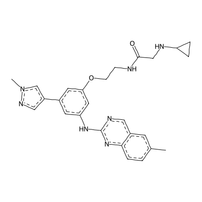 Cc1ccc2nc(Nc3cc(OCCNC(=O)CNC4CC4)cc(-c4cnn(C)c4)c3)ncc2c1